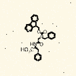 O=C(CN(Cc1ccccc1)C(=O)OCC1c2ccccc2-c2ccccc21)N[C@@H](Cc1ccccc1)C(=O)O